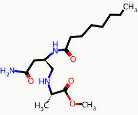 CCCCCCCC(=O)N[C@@H](CN[C@@H](C)C(=O)OC)CC(N)=O